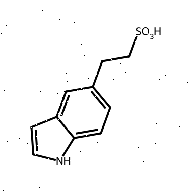 O=S(=O)(O)CCc1ccc2[nH]ccc2c1